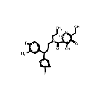 CCCN(CCC(c1ccc(F)cc1)c1ccc(F)c(P)c1)C(=O)c1[nH]nc(CO)c(=O)c1O